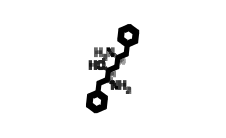 N[C@H](Cc1ccccc1)C[C@@H](O)[C@H](N)Cc1ccccc1